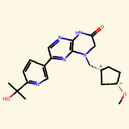 CO[C@H]1CC[C@@H](CN2CC(=O)Nc3ncc(-c4ccc(C(C)(C)O)nc4)nc32)C1